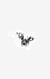 C=C(C)[C@@H]1CC[C@]2(C)S[P@@](=S)(OC[C@H]3O[C@@H](n4ccc(=O)[nH]c4=O)[C@H](F)[C@@H]3O[Si](C)(C)C(C)(C)C)O[C@H]2C1